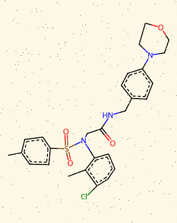 Cc1ccc(S(=O)(=O)N(CC(=O)NCc2ccc(N3CCOCC3)cc2)c2cccc(Cl)c2C)cc1